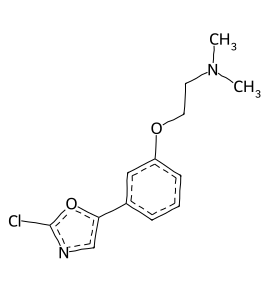 CN(C)CCOc1cccc(-c2cnc(Cl)o2)c1